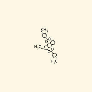 CCc1ccc(C(=O)Oc2c3ccccc3c(OC(=O)c3ccc(CC)cc3)c3cc(CC)ccc23)cc1